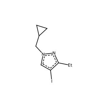 CCc1nn(CC2CC2)cc1I